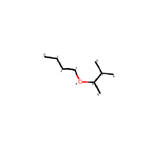 [CH2]CCCOC(C)C(C)C